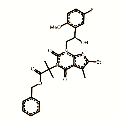 CCc1sc2c(c1C)c(=O)n(C(C)(C)C(=O)OCc1ccccc1)c(=O)n2C[C@H](O)c1cc(F)ccc1OC